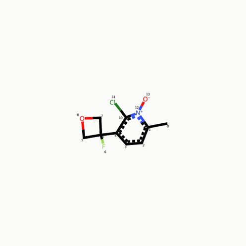 Cc1ccc(C2(F)COC2)c(Cl)[n+]1[O-]